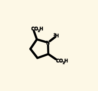 [2H]N1C(C(=O)O)CCC1C(=O)O